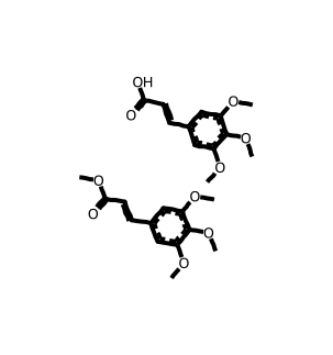 COC(=O)C=Cc1cc(OC)c(OC)c(OC)c1.COc1cc(/C=C/C(=O)O)cc(OC)c1OC